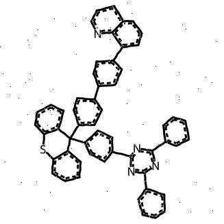 c1ccc(-c2nc(-c3ccccc3)nc(-c3ccc(C4(c5ccc(-c6ccc(-c7cccc8cccnc78)cc6)cc5)c5ccccc5Sc5ccccc54)cc3)n2)cc1